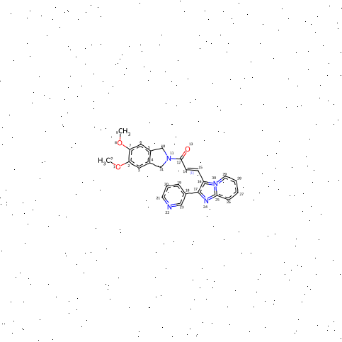 COc1cc2c(cc1OC)CN(C(=O)/C=C/c1c(-c3cccnc3)nc3ccccn13)C2